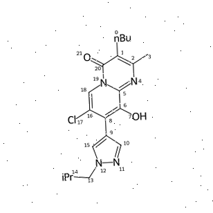 CCCCc1c(C)nc2c(O)c(-c3cnn(CC(C)C)c3)c(Cl)cn2c1=O